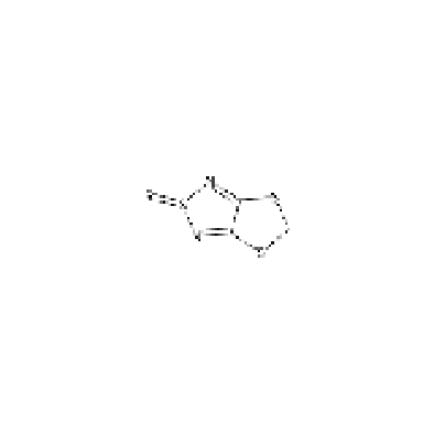 S=S1N=C2SCSC2=N1